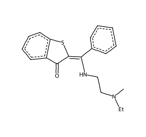 CCN(C)CCN/C(=C1/Sc2ccccc2C1=O)c1ccccc1